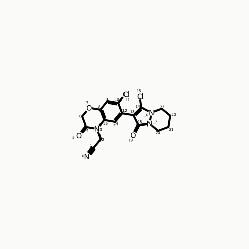 N#CCN1C(=O)COc2cc(Cl)c(-c3c(Cl)n4n(c3=O)CCCC4)cc21